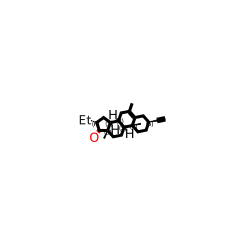 C#C[C@H]1CC[C@@]2(C)C(=C(C)C[C@@H]3[C@@H]2CC[C@]2(C)C(=O)[C@H](CC)C[C@@H]32)C1